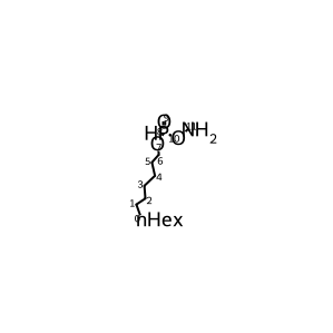 CCCCCCCCCCCCO[PH](=O)ON